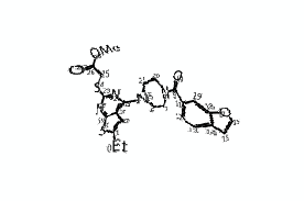 CCc1cc2c(N3CCN(C(=O)c4ccc5ccoc5c4)CC3)nc(SCC(=O)OC)nc2s1